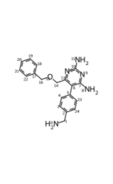 NCc1ccc(-c2c(N)nc(N)nc2COCc2ccccc2)cc1